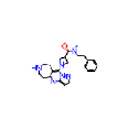 CN(CCc1ccccc1)C(=O)C1CN(c2c3c(nc4ccnn24)CCNCC3)C1